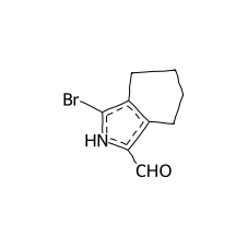 O=Cc1[nH]c(Br)c2c1CCCC2